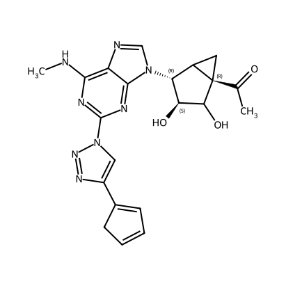 CNc1nc(-n2cc(C3=CC=CC3)nn2)nc2c1ncn2[C@@H]1C2C[C@]2(C(C)=O)C(O)[C@H]1O